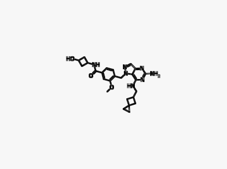 COc1cc(C(=O)NC2CC(O)C2)ccc1Cn1ncc2nc(N)nc(NCC3CC4(CC4)C3)c21